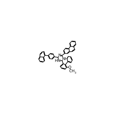 COc1cccc(C2NC(c3ccc4c(ccc5ccccc54)c3)=NC(c3ccc(-c4cccc5ccccc45)cc3)N2)c1C1=CC=CCC1